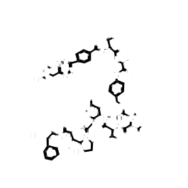 CC[C@H](C)[C@@H]([C@@H](CC(=O)N1CCC[C@H]1[C@H](OC)[C@@H](C)C(=O)N[C@H](C)[C@@H](O)c1ccccc1)OC)N(C)C(=O)[C@@H](NC(=O)[C@H](C(C)C)N(C)C(=O)OCc1ccc(NC(=O)[C@H](C)NC(=O)[C@@H](NC(=O)c2ccc(-c3nnc(CP(=O)(O)O)nn3)cc2)C(C)C)cc1)C(C)C